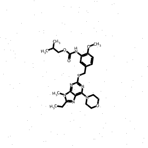 CCc1nc2c(N3CCOCC3)nc(SCc3ccc(OC)c(NC(=O)OCC(C)C)c3)nc2n1C